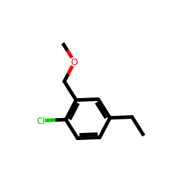 CCc1ccc(Cl)c(COC)c1